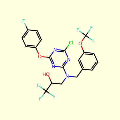 OC(CN(Cc1cccc(OC(F)(F)F)c1)c1nc(Cl)nc(Oc2ccc(F)cc2)n1)C(F)(F)F